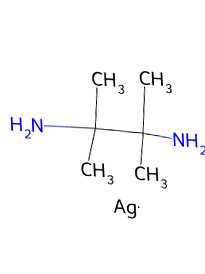 CC(C)(N)C(C)(C)N.[Ag]